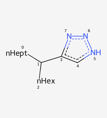 CCCCCCCC(CCCCCC)c1c[nH]nn1